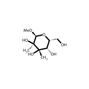 CO[C@H]1O[C@H](CO)[C@H](O)[C@](C)(O)[C@@]1(C)O